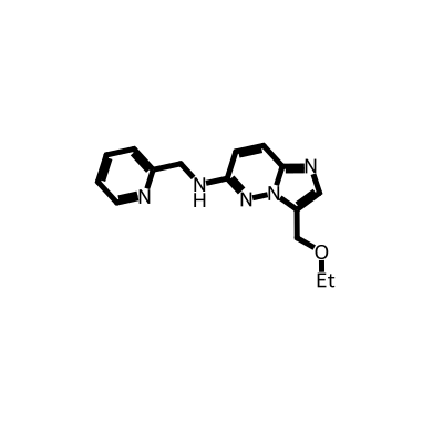 CCOCc1cnc2ccc(NCc3ccccn3)nn12